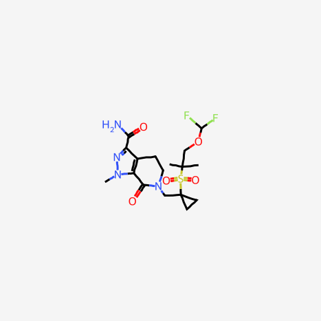 Cn1nc(C(N)=O)c2c1C(=O)N(CC1(S(=O)(=O)C(C)(C)COC(F)F)CC1)CC2